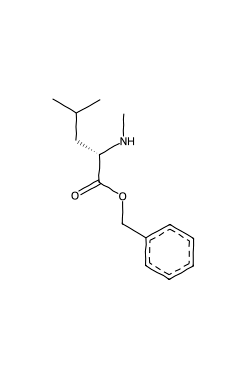 CN[C@@H](CC(C)C)C(=O)OCc1ccccc1